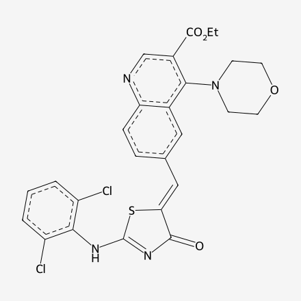 CCOC(=O)c1cnc2ccc(/C=C3\SC(Nc4c(Cl)cccc4Cl)=NC3=O)cc2c1N1CCOCC1